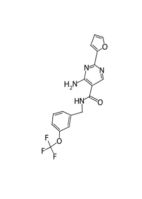 Nc1nc(-c2ccco2)ncc1C(=O)NCc1cccc(OC(F)(F)F)c1